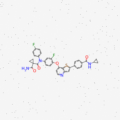 NC(=O)C1(C(=O)N(c2ccc(F)cc2)c2ccc(Oc3ccnc4cc(-c5ccc(C(=O)NC6CC6)cc5)sc34)c(F)c2)CC1